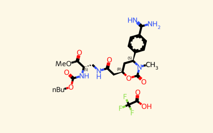 CCCCOC(=O)N[C@@H](CNC(=O)C[C@H]1C[C@@H](c2ccc(C(=N)N)cc2)N(C)C(=O)O1)C(=O)OC.O=C(O)C(F)(F)F